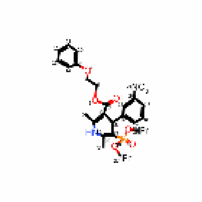 CC1=C(C(=O)OCCOc2ccccc2)C(c2cccc([N+](=O)[O-])c2)C(P(=O)(OC(C)C)OC(C)C)=C(C)N1